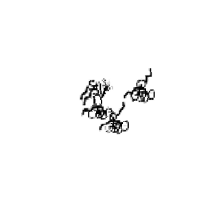 CCCCOC(CCCC)(CC(=O)[O-])C([O-])=S.CCCCOC(CCCC)(CC(=O)[O-])C([O-])=S.CCCCOC(CCCC)(CC(=O)[O-])C([O-])=S.CCC[CH2][Sn+3].CCC[CH2][Sn+3]